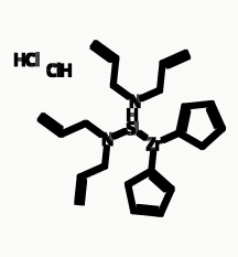 C=CCN(CC=C)[SiH](N(CC=C)CC=C)[Zr]([C]1=CC=CC1)[C]1=CC=CC1.Cl.Cl